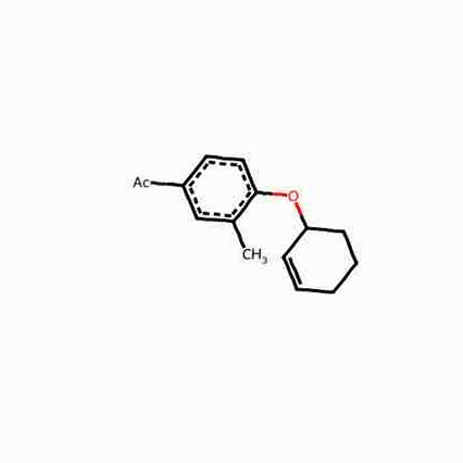 CC(=O)c1ccc(OC2C=CCCC2)c(C)c1